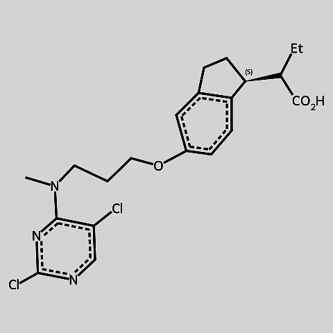 CCC(C(=O)O)[C@@H]1CCc2cc(OCCCN(C)c3nc(Cl)ncc3Cl)ccc21